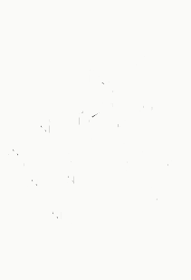 Nc1nc2nc[nH]c2c(=O)[nH]1.O=P(O)(O)OC[C@H]1OC(O)[C@H](O)[C@@H]1O